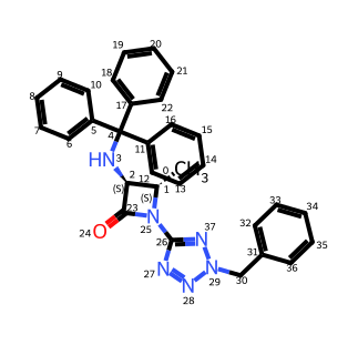 C[C@H]1[C@H](NC(c2ccccc2)(c2ccccc2)c2ccccc2)C(=O)N1c1nnn(Cc2ccccc2)n1